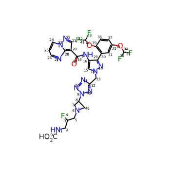 O=C(O)NCC(F)CN1CC(n2nnc(Cn3cc(NC(=O)c4cnn5cccnc45)c(-c4cc(OC(F)F)ccc4OC(F)F)n3)n2)C1